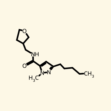 CCCCCc1cc(C(=O)NCC2CCOC2)n(C)n1